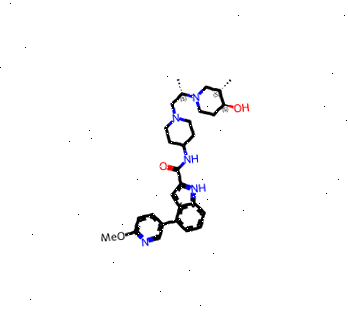 COc1ccc(-c2cccc3[nH]c(C(=O)NC4CCN(C[C@H](C)N5CC[C@H](O)[C@@H](C)C5)CC4)cc23)cn1